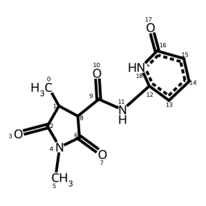 CC1C(=O)N(C)C(=O)C1C(=O)Nc1cccc(=O)[nH]1